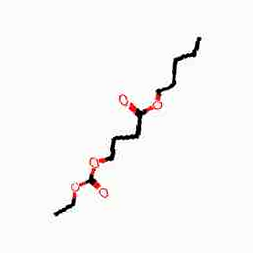 CCCCCOC(=O)CCCOC(=O)OCC